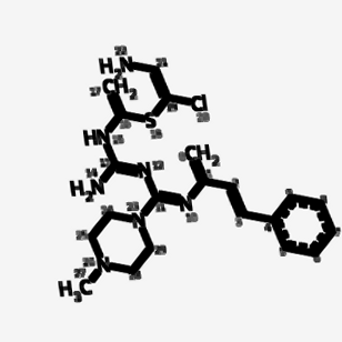 C=C(/C=C/c1ccccc1)/N=C(\N=C(/N)NC(=C)S/C(Cl)=C\N)N1CCN(C)CC1